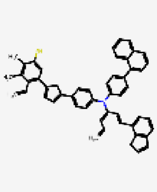 C=C/C=C(\C=Cc1cccc2c1CC=C2)N(c1ccc(C2=CC=C(c3cc(S)c(C)c(C)c3C=C)C2)cc1)c1ccc(-c2cccc3ccccc23)cc1